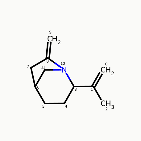 C=C(C)C1CCC2CC(=C)N1C2